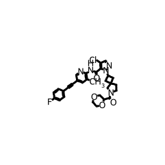 Cc1cc(C#Cc2ccc(F)cc2)cnc1NC(=O)c1c(Cl)cnn1C1CC2(CCN(C(=O)C3COCCO3)C2)C1